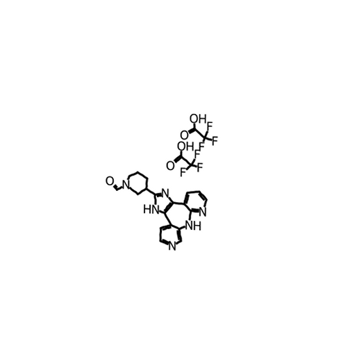 O=C(O)C(F)(F)F.O=C(O)C(F)(F)F.O=CN1CCCC(c2nc3c([nH]2)-c2ccncc2Nc2ncccc2-3)C1